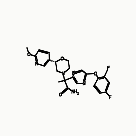 COc1ccc([C@H]2CN(C(C)(C(N)=O)c3cnc(Oc4ccc(F)cc4F)cn3)CCO2)cn1